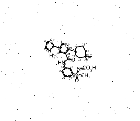 Cc1c(-c2nccs2)cnc(N2CCCC(F)(F)CC2)c1C(=O)Nc1cccc(S(C)(=O)=NC(=O)O)c1